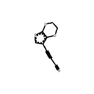 N#CC#Cc1csc2c1OCCO2